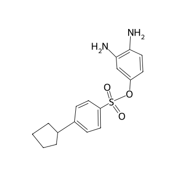 Nc1ccc(OS(=O)(=O)c2ccc(C3CCCC3)cc2)cc1N